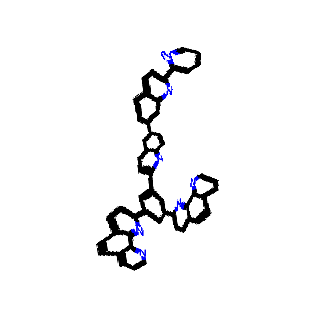 c1ccc(-c2ccc3ccc(-c4ccc5nc(-c6cc(-c7ccc8ccc9cccnc9c8n7)cc(-c7ccc8ccc9cccnc9c8n7)c6)ccc5c4)cc3n2)nc1